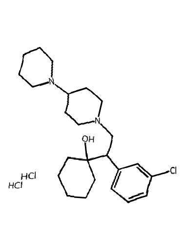 Cl.Cl.OC1(C(CN2CCC(N3CCCCC3)CC2)c2cccc(Cl)c2)CCCCC1